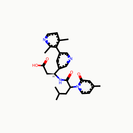 Cc1ccn(C(CC(C)C)C(=O)N[C@@H](CC(=O)O)c2cncc(-c3c(C)ccnc3C)c2)c(=O)c1